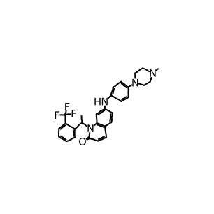 CC(c1ccccc1C(F)(F)F)n1c(=O)ccc2ccc(Nc3ccc(N4CCN(C)CC4)cc3)cc21